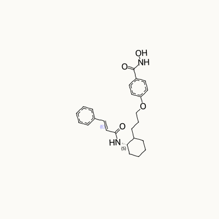 O=C(/C=C/c1ccccc1)N[C@H]1CCCCC1CCCOc1ccc(C(=O)NO)cc1